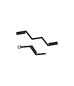 C=CCCC=C.CC=CCl